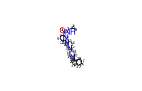 O=C(NCC1CC1)c1cccc(N2CCCN(C3CCN([C@H]4CCc5ccccc54)CC3)CC2)n1